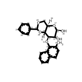 Cc1ccc2ccccc2c1O[C@@H]1[C@H](O)[C@H](O)O[C@@H]2COC(c3ccccc3)O[C@@H]12